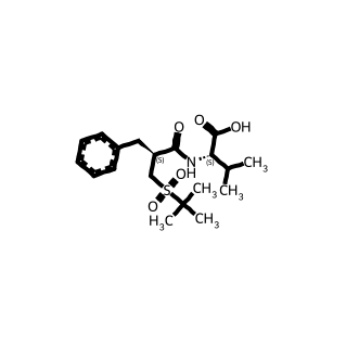 CC(C)[C@H](NC(=O)[C@H](Cc1ccccc1)CS(=O)(=O)C(C)(C)C)C(=O)O